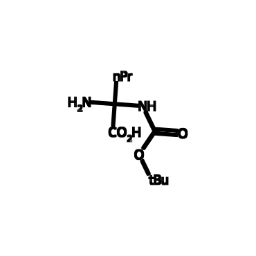 CCCC(N)(NC(=O)OC(C)(C)C)C(=O)O